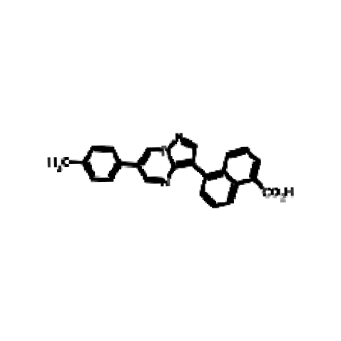 Cc1ccc(-c2cnc3c(-c4cccc5c(C(=O)O)cccc45)cnn3c2)cc1